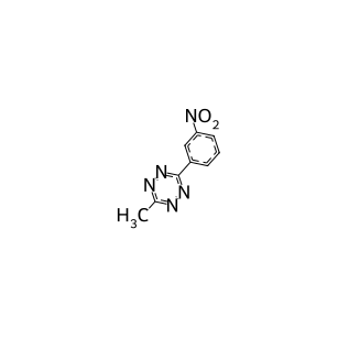 Cc1nnc(-c2cccc([N+](=O)[O-])c2)nn1